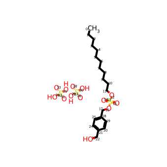 CCCCCCCCCCCCOS(=O)(=O)OCc1ccc(CO)cc1.O=S(=O)(O)O.O=S(=O)(O)O